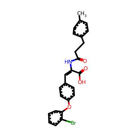 Cc1ccc(CCC(=O)N/C(=C/c2ccc(Oc3ccccc3Br)cc2)C(=O)O)cc1